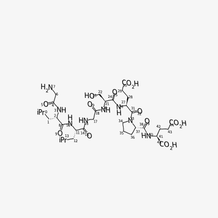 CC(C)C[C@H](NC(=O)CN)C(=O)N[C@@H](CC(C)C)C(=O)NCC(=O)N[C@@H](CO)C(=O)N[C@@H](CCC(=O)O)C(=O)N1CCC[C@H]1C(=O)N[C@@H](CCC(=O)O)C(=O)O